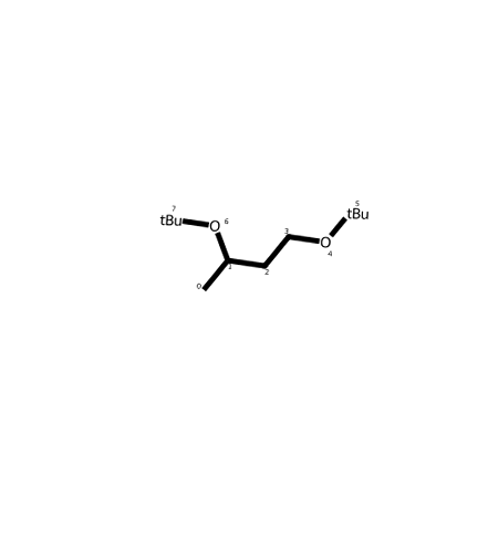 CC(CCOC(C)(C)C)OC(C)(C)C